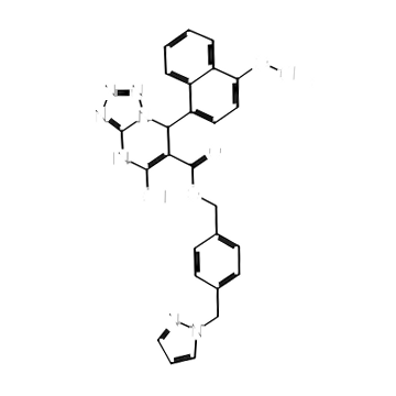 COc1ccc(C2C(C(=O)OCc3ccc(Cn4cccn4)cc3)=C(C)Nc3nnnn32)c2ccccc12